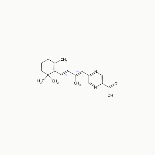 CC1=C(/C=C/C(C)=C/c2cnc(C(=O)O)cn2)C(C)(C)CCC1